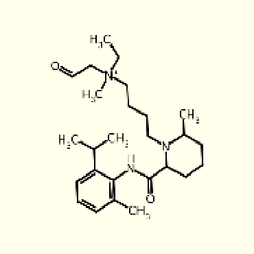 CC[N+](C)(CC=O)CCCCN1C(C)CCCC1C(=O)Nc1c(C)cccc1C(C)C